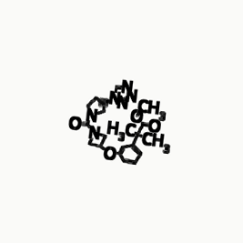 COC(=O)C(C)(C)c1cccc(OC2CN(C(=O)N3CC[C@@H](n4cnnn4)C3)C2)c1